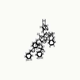 CN(Cc1ccccc1)C(=O)N[C@@H](Cc1c[nH]cn1)C(=O)N(C)[C@@H](Cc1ccc(OCc2ccccc2)cc1)C(=O)NCC(C)(C)c1ccccc1